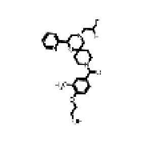 Cc1cc(C(=O)N2CCC3(CC2)CN(CC(F)F)CC(c2ccccn2)O3)ccc1OCCO